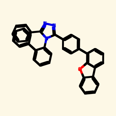 c1ccc(-c2ccccc2-n2c(-c3ccccc3)nnc2-c2ccc(-c3cccc4c3oc3ccccc34)cc2)cc1